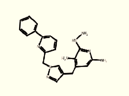 NNc1nc(N)cc(Cc2cnn(Cc3cccc(-c4ccccc4)n3)c2)c1N